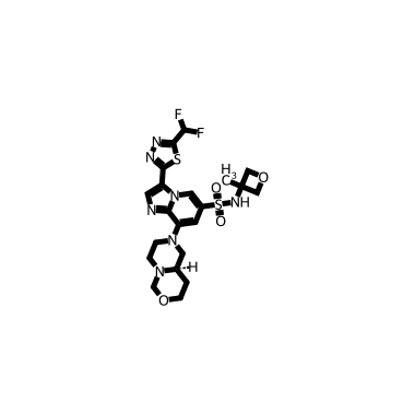 CC1(NS(=O)(=O)c2cc(N3CCN4COCC[C@@H]4C3)c3ncc(-c4nnc(C(F)F)s4)n3c2)COC1